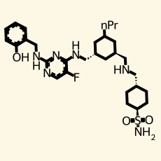 CCCC1C[C@@H](CNC[C@H]2CC[C@H](S(N)(=O)=O)CC2)C[C@H](CNc2nc(NCc3ccccc3O)ncc2F)C1